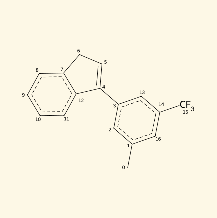 Cc1cc(C2=CCc3ccccc32)cc(C(F)(F)F)c1